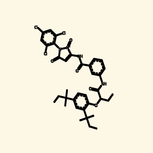 CCC(Oc1ccc(C(C)(C)CC)cc1C(C)(C)CC)C(=O)Nc1cccc(C(=O)NC2=CC(=O)N(c3c(Cl)cc(Cl)cc3Cl)[N+]2=O)c1